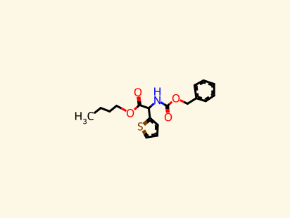 CCCCOC(=O)C(NC(=O)OCc1ccccc1)c1cccs1